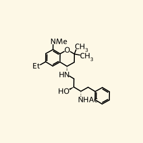 CCc1cc(NC)c2c(c1)[C@@H](NC[C@H](O)[C@H](Cc1ccccc1)NC(C)=O)CC(C)(C)O2